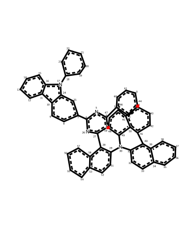 c1ccc(-c2nc(-c3ccc4c5ccccc5n(-c5ccccc5)c4c3)nc(-c3c(N4c5ccc6ccccc6c5-c5cccc6cccc4c56)ccc4ccccc34)n2)cc1